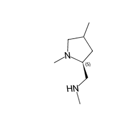 CNC[C@@H]1CC(C)CN1C